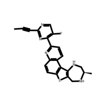 CC#Cc1ncc(F)c(-c2ccc3c(ccc4sc5c(c43)NC[C@@H](C)NC5)n2)n1